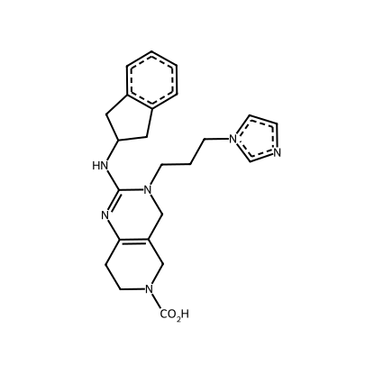 O=C(O)N1CCC2=C(C1)CN(CCCn1ccnc1)C(NC1Cc3ccccc3C1)=N2